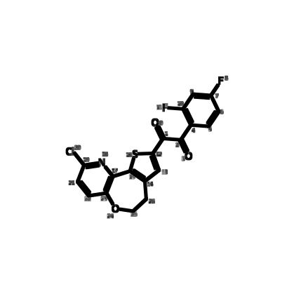 O=C(C(=O)c1ccc(F)cc1F)c1cc2c(s1)-c1nc(Cl)ccc1OCC2